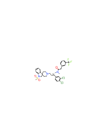 CN(C[C@@H](CCN1CCC2(CC1)CN(S(C)(=O)=O)c1ccccc12)c1ccc(Cl)c(Cl)c1)C(=O)Cc1cccc(C(F)(F)F)c1